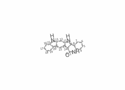 O=c1[nH]c2ccccc2c2[nH]c3cc4[nH]c5ccccc5c4cc3c12